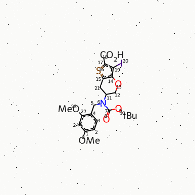 COc1ccc(CN(C(=O)OC(C)(C)C)C2COc3c(sc(C(=O)O)c3I)C2)c(OC)c1